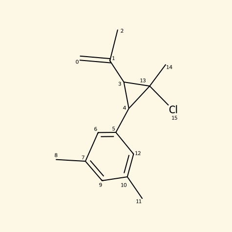 C=C(C)C1C(c2cc(C)cc(C)c2)C1(C)Cl